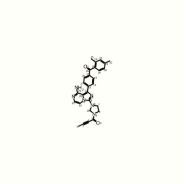 CC#CC(=O)N1CCN(c2nc(-c3ccc(C(=O)c4ccc(C)cc4C)cc3)c3c(N)nccn23)C1